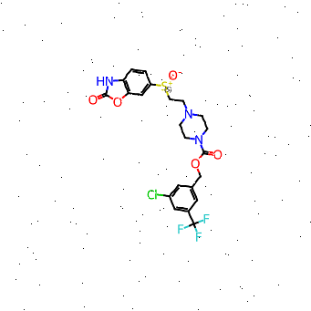 O=C(OCc1cc(Cl)cc(C(F)(F)F)c1)N1CCN(CC[S@@+]([O-])c2ccc3[nH]c(=O)oc3c2)CC1